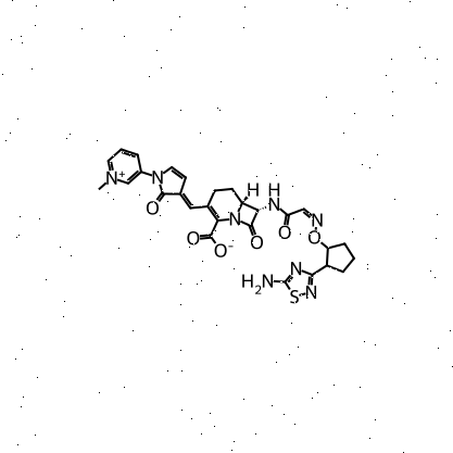 C[n+]1cccc(N2C=C/C(=C\C3=C(C(=O)[O-])N4C(=O)[C@@H](NC(=O)/C=N\OC5CCCC5c5nsc(N)n5)[C@H]4CC3)C2=O)c1